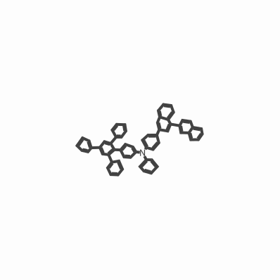 c1ccc(-c2cc(-c3ccccc3)c(-c3ccc(N(c4ccccc4)c4ccc(-c5cc(-c6ccc7ccccc7c6)c6ccccc6c5)cc4)cc3)c(-c3ccccc3)c2)cc1